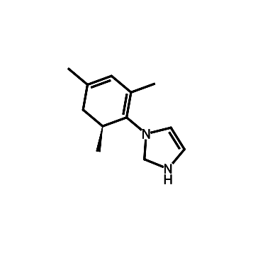 CC1=CC(C)=C(N2C=CNC2)[C@@H](C)C1